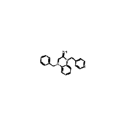 N=C1CN(Cc2ccccc2)c2ccccc2N1Cc1ccncc1